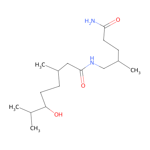 CC(CCC(N)=O)CNC(=O)CC(C)CCC(O)C(C)C